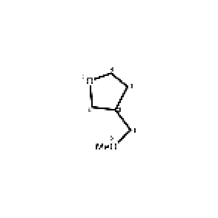 COCC1CCOC1